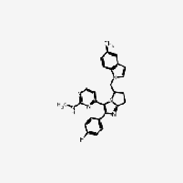 CNc1nccc(-c2c(-c3ccc(F)cc3)nc3n2C(Cn2ccc4cc(C)ccc42)CC3)n1